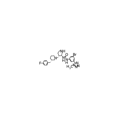 Cn1nnnc1-c1cc(Br)cc(NC(=O)N[C@H]2CNCC[C@H]2CN2CCC[C@@H](Cc3ccc(F)cc3)C2)c1